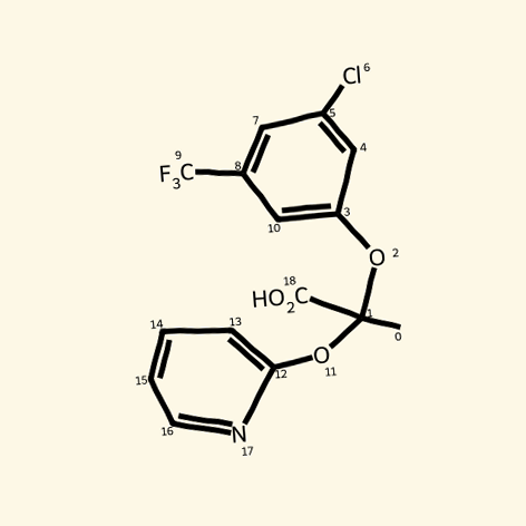 CC(Oc1cc(Cl)cc(C(F)(F)F)c1)(Oc1ccccn1)C(=O)O